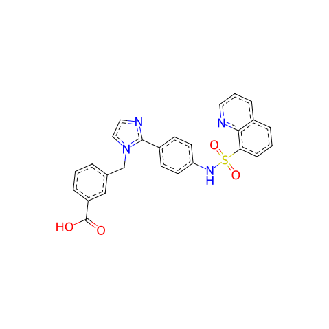 O=C(O)c1cccc(Cn2ccnc2-c2ccc(NS(=O)(=O)c3cccc4cccnc34)cc2)c1